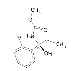 CC[C@@](O)(NC(=O)OC)c1ccccc1Cl